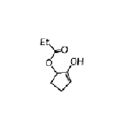 CCC(=O)OC1CCC=C1O